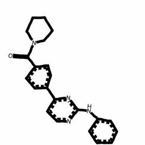 O=C(c1ccc(-c2ccnc(Nc3ccccc3)n2)cc1)N1CCCCC1